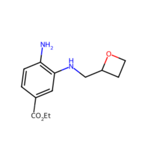 CCOC(=O)c1ccc(N)c(NCC2CCO2)c1